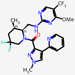 COc1nc(NC[C@@H]2[C@H](C)CC(F)(F)CN2C(=O)c2nn(C)cc2-c2ccccn2)ncc1C(F)(F)F